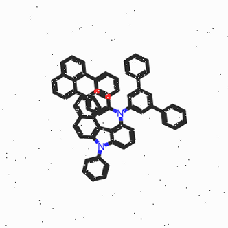 c1ccc(-c2cc(-c3ccccc3)cc(N(c3ccc(-c4cccc5cccc(-c6ccccc6)c45)cc3)c3cccc4c3c3c5ccccc5ccc3n4-c3ccccc3)c2)cc1